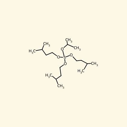 CC(C)CC[O][Ti]([O]CCC(C)C)([O]CCC(C)C)[O]C(C)C